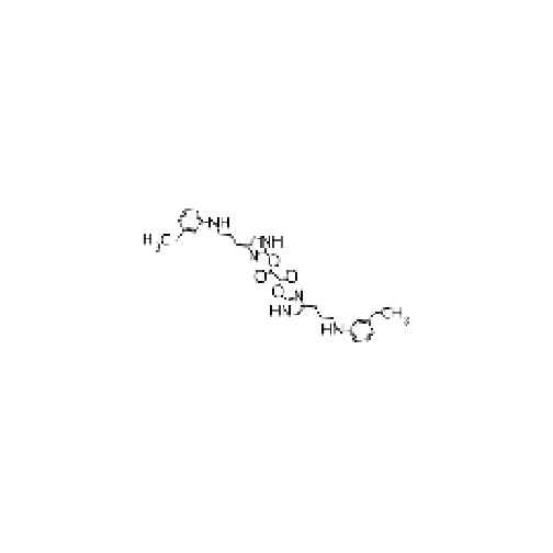 CCc1cccc(NCCCc2c[nH]c(OC(=O)C(=O)Oc3nc(CCCNc4cccc(CC)c4)c[nH]3)n2)c1